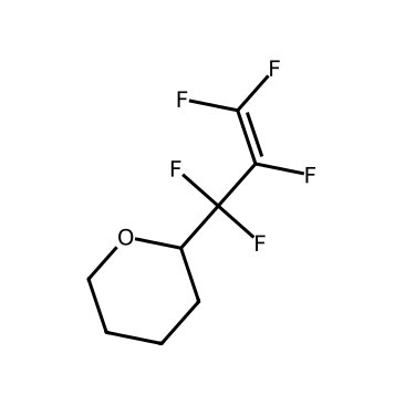 FC(F)=C(F)C(F)(F)C1CCCCO1